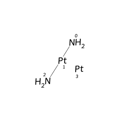 [NH2][Pt][NH2].[Pt]